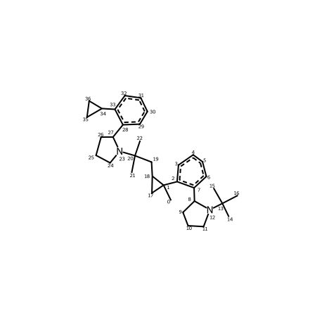 CC1(c2ccccc2C2CCCN2C(C)(C)C)CC1CC(C)(C)N1CCCC1c1ccccc1C1CC1